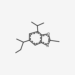 CCC(C)c1cc(C(C)C)c2oc(C)nc2c1